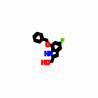 OCc1cc2cc(F)cc(OCc3ccccc3)c2[nH]1